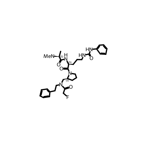 CN[C@@H](C)C(=O)N[C@@H](CCCNC(=O)Nc1ccccc1)C(=O)N1CCC[C@H]1CN(CCc1ccccc1)C(=O)CF